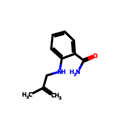 C=C(C)CNc1ccccc1C(N)=O